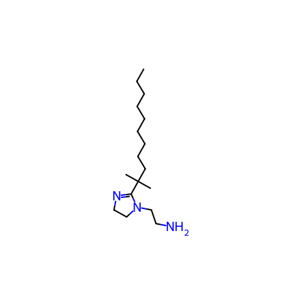 CCCCCCCCCC(C)(C)C1=NCCN1CCN